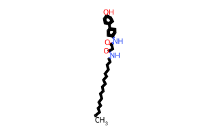 CCCCCCCCCCCCCCCCCCNC(=O)CC(=O)Nc1ccc(-c2ccc(O)cc2)cc1